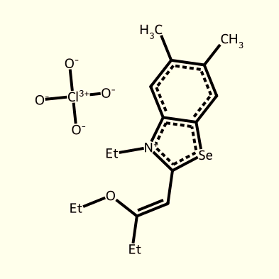 CCOC(=Cc1[se]c2cc(C)c(C)cc2[n+]1CC)CC.[O-][Cl+3]([O-])([O-])[O-]